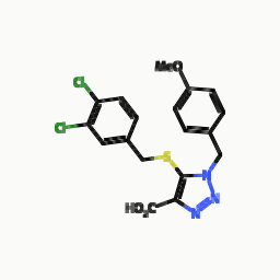 COc1ccc(Cn2nnc(C(=O)O)c2SCc2ccc(Cl)c(Cl)c2)cc1